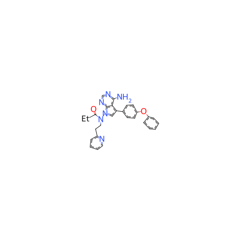 CCC(=O)N(CCc1ccccn1)n1cc(-c2ccc(Oc3ccccc3)cc2)c2c(N)ncnc21